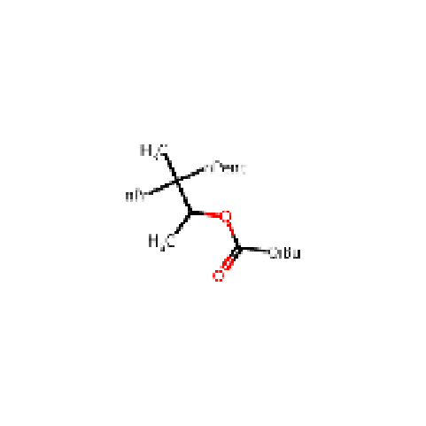 CCCCCC(C)(CCC)C(C)OC(=O)OCC(C)C